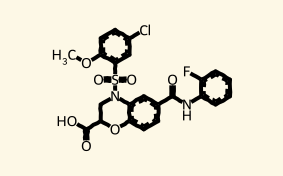 COc1ccc(Cl)cc1S(=O)(=O)N1CC(C(=O)O)Oc2ccc(C(=O)Nc3ccccc3F)cc21